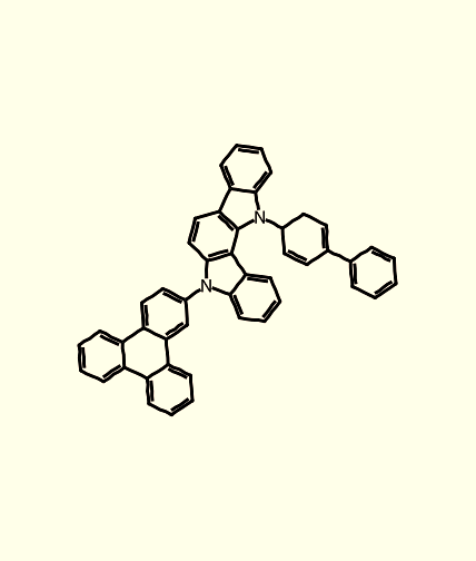 C1=CC(n2c3ccccc3c3ccc4c(c5ccccc5n4-c4ccc5c6ccccc6c6ccccc6c5c4)c32)CC=C1c1ccccc1